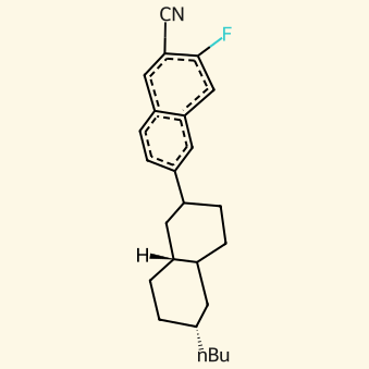 CCCC[C@@H]1CC[C@@H]2CC(c3ccc4cc(C#N)c(F)cc4c3)CCC2C1